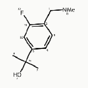 CNCc1ccc(C(C)(C)O)cc1F